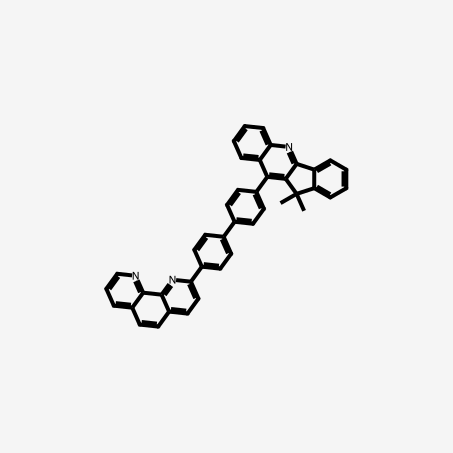 CC1(C)c2ccccc2-c2nc3ccccc3c(-c3ccc(-c4ccc(-c5ccc6ccc7cccnc7c6n5)cc4)cc3)c21